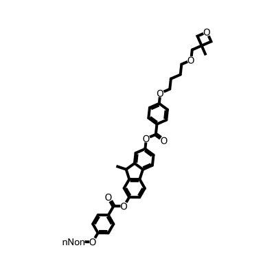 CCCCCCCCCOc1ccc(C(=O)Oc2ccc3c(c2)C(C)c2cc(OC(=O)c4ccc(OCCCCOCC5(C)COC5)cc4)ccc2-3)cc1